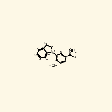 CC(N)c1cccc(N2CCc3ccccc32)c1.Cl